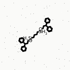 c1ccc(C(CCO[SiH2]CCCC[SiH2]OCCC(c2ccccc2)c2ccccc2)c2ccccc2)cc1